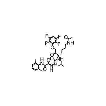 CC(=O)NCCCC[C@H](NC(=O)[C@H](CC(C)C)NC(=O)C(=O)Nc1c(C)cccc1C)C(=O)COc1c(F)c(F)cc(F)c1F